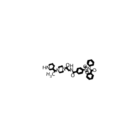 CC(C1CCCNC1)N1CCN(C(=O)CNC(=O)c2ccc(S(=O)(=O)N(C(=O)c3ccccc3)c3ccccc3)cc2)CC1